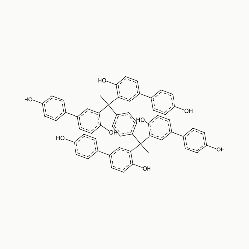 CC(c1ccc(C(C)(c2cc(-c3ccc(O)cc3)ccc2O)c2cc(-c3ccc(O)cc3)ccc2O)cc1)(c1cc(-c2ccc(O)cc2)ccc1O)c1cc(-c2ccc(O)cc2)ccc1O